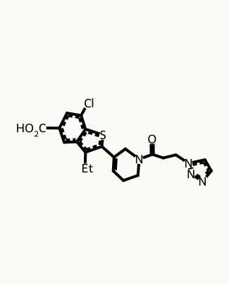 CCc1c(C2=CCCN(C(=O)CCn3ccnn3)C2)sc2c(Cl)cc(C(=O)O)cc12